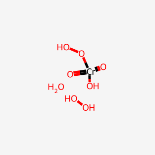 O.OO.[O]=[Cr](=[O])([OH])[O]O